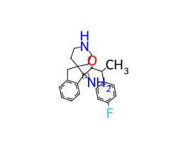 CC(C(=O)[C@@]1(N)c2ccccc2CC12CCNCC2)c1ccc(F)cc1